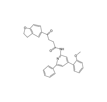 COc1ccccc1-c1cc(NC(=O)CCC(=O)c2ccc3c(c2)CCO3)nc(-c2ccccc2)c1